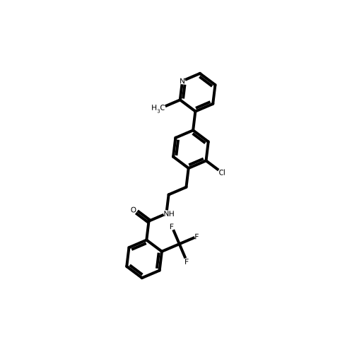 Cc1ncccc1-c1ccc(CCNC(=O)c2ccccc2C(F)(F)F)c(Cl)c1